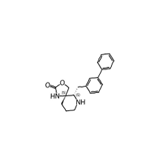 O=C1N[C@]2(CCCN[C@H]2Cc2cccc(-c3ccccc3)c2)CO1